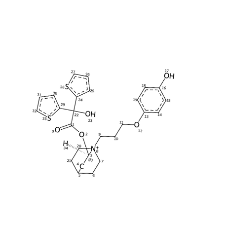 O=C(O[C@@H]1CC2CC[N+]1(CCCOc1ccc(O)cc1)CC2)C(O)(c1cccs1)c1cccs1